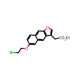 CCOC(=O)Cc1coc2cc3ccc(OCCBr)cc3cc12